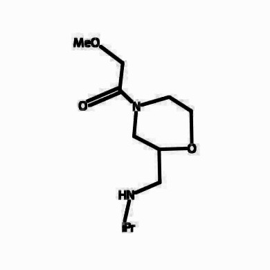 COCC(=O)N1CCOC(CNC(C)C)C1